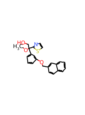 COC(CO)(c1cccc(OCc2ccc3ccccc3c2)c1)c1nccs1